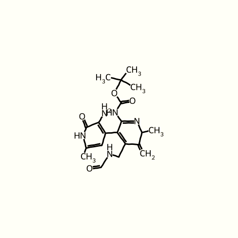 C=C1C(CNC=O)=C(c2cc(C)[nH]c(=O)c2N)C(NC(=O)OC(C)(C)C)=NC1C